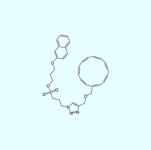 O=S(=O)(CCCn1cc(COCc2ccccccccccccc2)nn1)OCCCOc1ccc2ccccc2c1